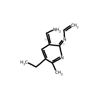 C=C/N=C1/N=C(C)C(CC)=C/C1=C/N